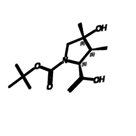 C=C(O)[C@@H]1[C@H](C)[C@@](C)(O)CN1C(=O)OC(C)(C)C